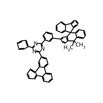 CC1(C)c2ccccc2C2(c3ccccc3-c3ccccc32)c2cc(-c3cccc(-c4nc(-c5ccccc5)nc(-c5ccc6c7ccccc7c7ccccc7c6c5)n4)c3)ccc21